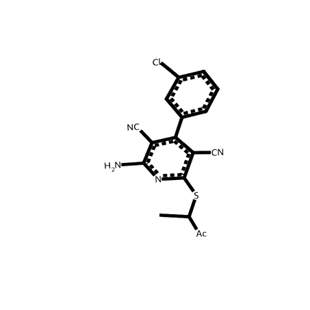 CC(=O)C(C)Sc1nc(N)c(C#N)c(-c2cccc(Cl)c2)c1C#N